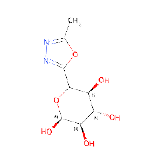 Cc1nnc(C2O[C@H](O)[C@H](O)[C@@H](O)[C@@H]2O)o1